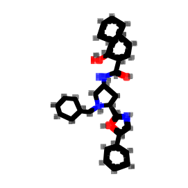 O=C(N[C@H]1C[C@@H](c2ncc(-c3ccccc3)o2)N(CC2CCCCC2)C1)c1ccc2ccccc2c1O